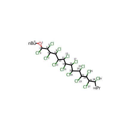 CCCCOC(Cl)C(Cl)C(Cl)C(Cl)C(Cl)C(Cl)C(Cl)C(Cl)C(Cl)C(Cl)C(Cl)C(Cl)C(Cl)C(Cl)C(C)C